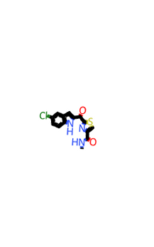 CNC(=O)c1csc(C(=O)c2cc3cc(Cl)ccc3[nH]2)n1